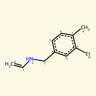 C=CNCc1ccc(C)c(CC)c1